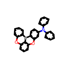 c1ccc(N(c2ccccc2)c2ccc3c(c2)Oc2cccc4c2B3c2ccccc2O4)cc1